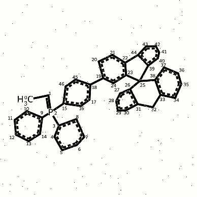 CC=P(c1ccccc1)(c1ccccc1)c1ccc(-c2ccc3c(c2)C2(c4ccccc4Cc4ccccc42)c2ccccc2-3)cc1